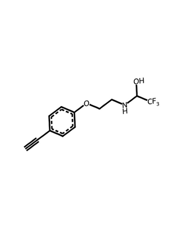 C#Cc1ccc(OCCNC(O)C(F)(F)F)cc1